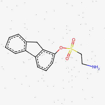 NCCS(=O)(=O)Oc1cccc2c1Cc1ccccc1-2